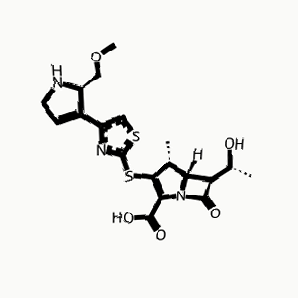 COC[C@@H]1NCC=C1c1csc(SC2=C(C(=O)O)N3C(=O)[C@H]([C@@H](C)O)[C@H]3[C@H]2C)n1